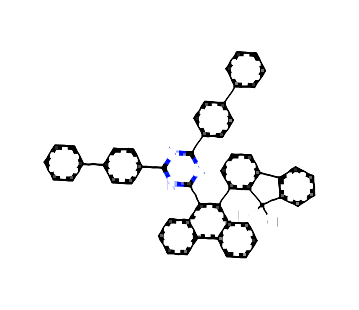 CC1(C)c2ccccc2-c2cccc(-c3c(-c4nc(-c5ccc(-c6ccccc6)cc5)nc(-c5ccc(-c6ccccc6)cc5)n4)c4ccccc4c4ccccc34)c21